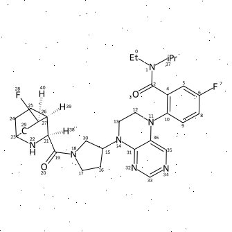 CCN(C(=O)c1cc(F)ccc1N1CCN(C2CCN(C(=O)[C@H]3NC4CC[C@@H]3[C@H](F)C4)C2)c2ncncc21)C(C)C